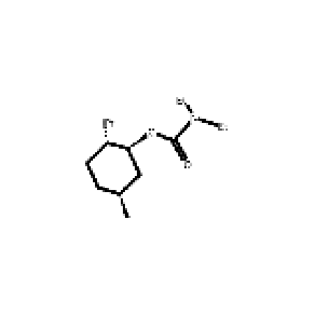 CCN(CC)C(=O)O[C@H]1C[C@@H](C)CC[C@@H]1C(C)C